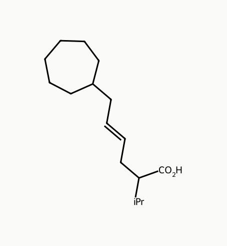 CC(C)C(CC=CCC1CCCCCC1)C(=O)O